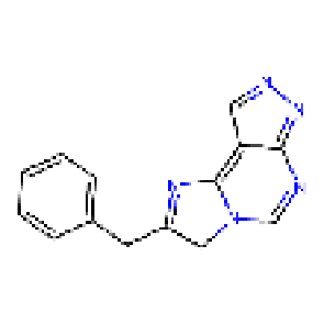 c1ccc(CC2=Nc3c4cnnc-4ncn3C2)cc1